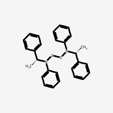 C[C@H](c1ccccc1)N(SSN(c1ccccc1)[C@H](C)c1ccccc1)c1ccccc1